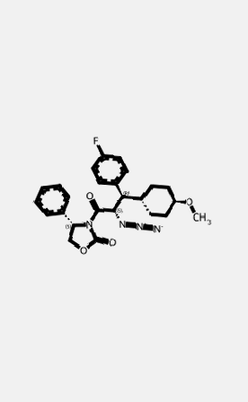 CO[C@H]1CC[C@H]([C@H](c2ccc(F)cc2)[C@H](N=[N+]=[N-])C(=O)N2C(=O)OC[C@@H]2c2ccccc2)CC1